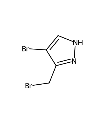 BrCc1n[nH]cc1Br